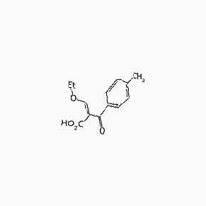 CCOC=C(C(=O)O)C(=O)c1ccc(C)cc1